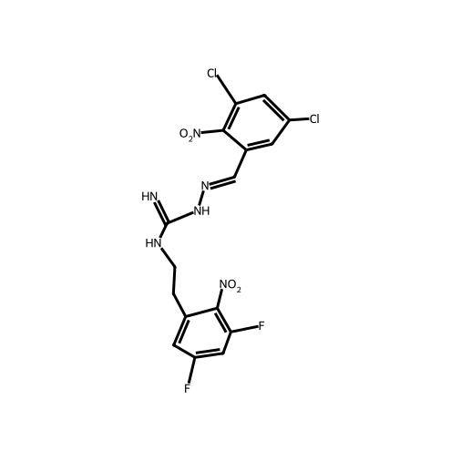 N=C(NCCc1cc(F)cc(F)c1[N+](=O)[O-])NN=Cc1cc(Cl)cc(Cl)c1[N+](=O)[O-]